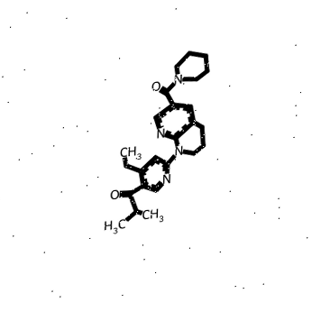 CCc1cc(N2CCCc3cc(C(=O)N4CCCCC4)cnc32)ncc1C(=O)C(C)C